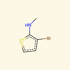 CNc1sccc1Br